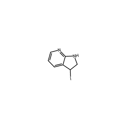 IC1CNc2ncccc21